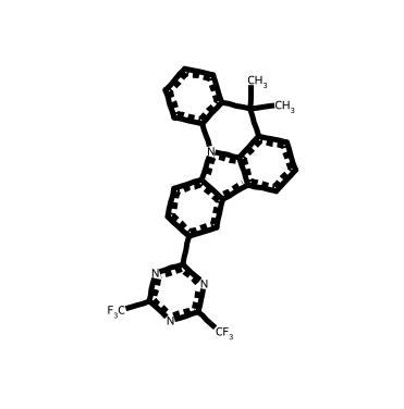 CC1(C)c2ccccc2-n2c3ccc(-c4nc(C(F)(F)F)nc(C(F)(F)F)n4)cc3c3cccc1c32